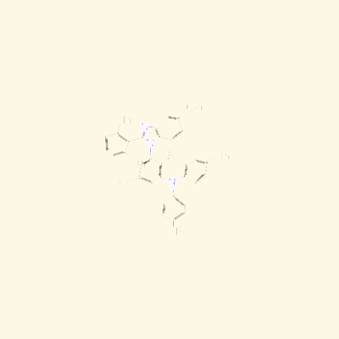 CC(C)c1cccc(C(C)C)c1-c1nc2cc(C(C)(C)C)ccc2n1-c1cc(Cl)cc(N(c2ccc(C(C)(C)C)cc2)c2ccc(C(C)(C)C)cc2)c1Br